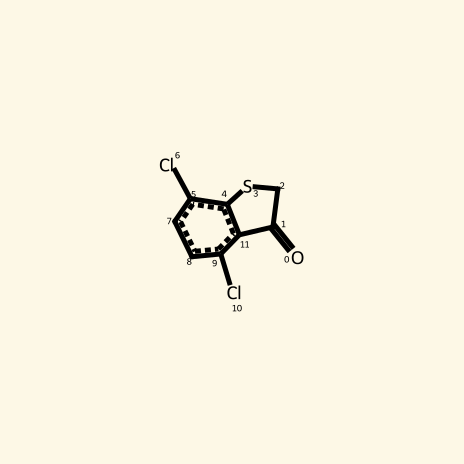 O=C1CSc2c(Cl)ccc(Cl)c21